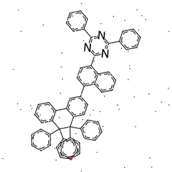 c1ccc(-c2nc(-c3ccccc3)nc(-c3ccc(-c4ccc5c(c4)-c4ccccc4C(c4ccccc4)(c4ccccc4)C5(c4ccccc4)c4ccccc4)c4ccccc34)n2)cc1